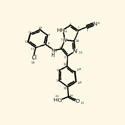 N#Cc1c[nH]n2c(Nc3ccccc3Cl)c(-c3ccc(C(=O)O)cc3)nc12